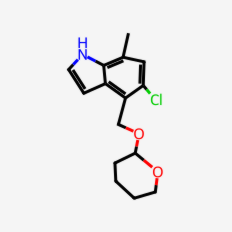 Cc1cc(Cl)c(COC2CCCCO2)c2cc[nH]c12